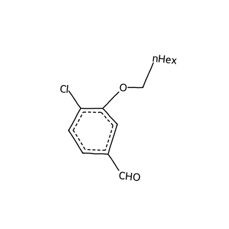 CCCCCCCOc1cc(C=O)ccc1Cl